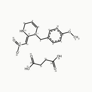 COc1ccc(CN2C=CCNC2=C[N+](=O)[O-])cn1.O=C(O)CCC(=O)O